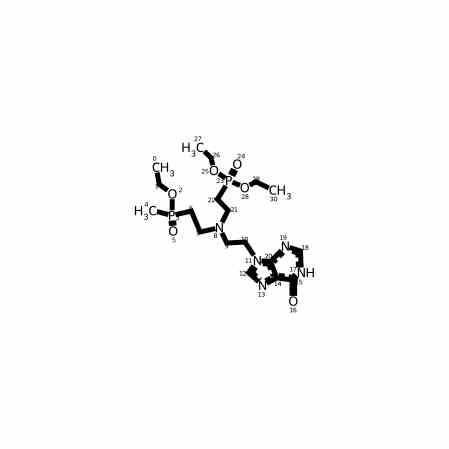 CCOP(C)(=O)CCN(CCn1cnc2c(=O)[nH]cnc21)CCP(=O)(OCC)OCC